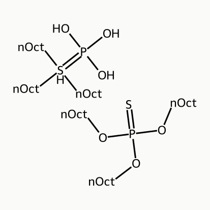 CCCCCCCCOP(=S)(OCCCCCCCC)OCCCCCCCC.CCCCCCCC[SH](CCCCCCCC)(CCCCCCCC)=P(O)(O)O